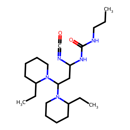 CCCNC(=O)NC(CC(N1CCCCC1CC)N1CCCCC1CC)N=C=O